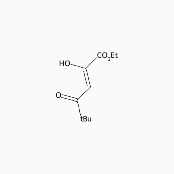 CCOC(=O)/C(O)=C/C(=O)C(C)(C)C